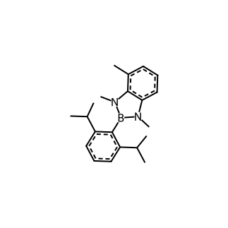 Cc1cccc2c1N(C)B(c1c(C(C)C)cccc1C(C)C)N2C